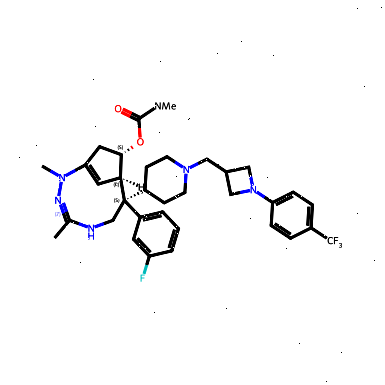 CNC(=O)O[C@H]1CC2=C[C@@H]1[C@](c1cccc(F)c1)(C1CCN(CC3CN(c4ccc(C(F)(F)F)cc4)C3)CC1)CN/C(C)=N\N2C